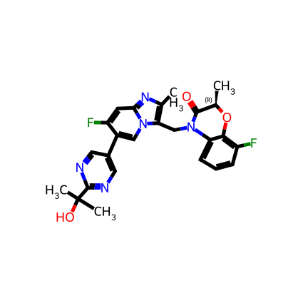 Cc1nc2cc(F)c(-c3cnc(C(C)(C)O)nc3)cn2c1CN1C(=O)[C@@H](C)Oc2c(F)cccc21